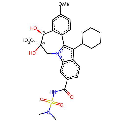 COc1ccc2c(c1)[C@H](O)[C@@](O)(C(=O)O)Cn1c-2c(C2CCCCC2)c2ccc(C(=O)NS(=O)(=O)N(C)C)cc21